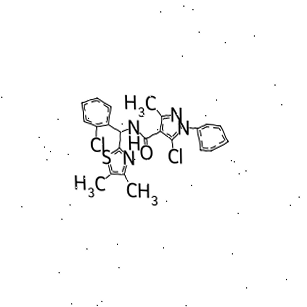 Cc1nc(C(NC(=O)c2c(C)nn(-c3ccccc3)c2Cl)c2ccccc2Cl)sc1C